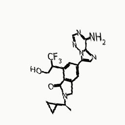 C[C@@H](C1CC1)N1Cc2cc(-c3cnc4c(N)ncnn34)cc(C(CO)C(F)(F)F)c2C1=O